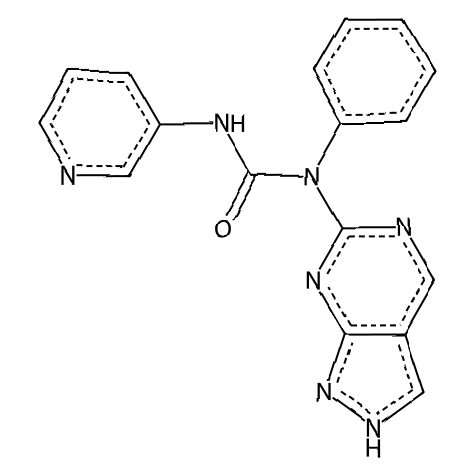 O=C(Nc1cccnc1)N(c1ccccc1)c1ncc2c[nH]nc2n1